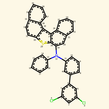 Clc1cc(Cl)cc(-c2cccc(N(c3ccccc3)c3cc4ccccc4c4c3sc3ccc5ccccc5c34)c2)c1